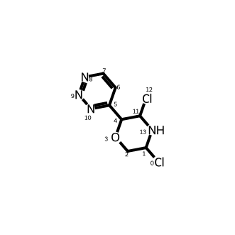 ClC1COC(c2ccnnn2)C(Cl)N1